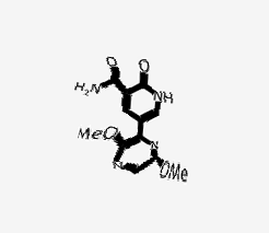 COc1cnc(OC)c(-c2c[nH]c(=O)c(C(N)=O)c2)n1